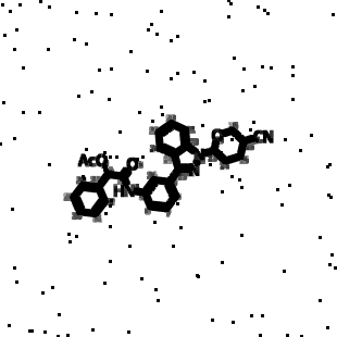 CC(=O)O[C@@H](C(=O)Nc1cccc(-c2nn(C3CCC(C#N)CO3)c3ccccc23)c1)c1ccccc1